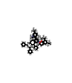 C=C(/C=C\C)N(C(=C)/C=C\Cc1ccc(C(F)(F)F)cc1C(F)(F)F)C1=CC(c2cnccc2-n2c3ccccc3c3cc(-c4ccc(C(F)(F)F)cc4C(F)(F)F)ccc32)C2=NC(c3ccccc3)=NC(c3ccccc3)=NC2C=C1